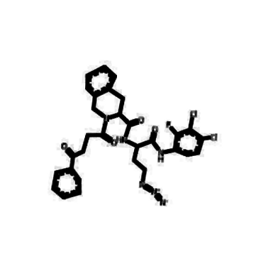 [N-]=[N+]=NCCC(NC(=O)C1Cc2ccccc2CN1C(=O)CCC(=O)c1ccccc1)C(=O)Nc1ccc(Cl)c(Cl)c1F